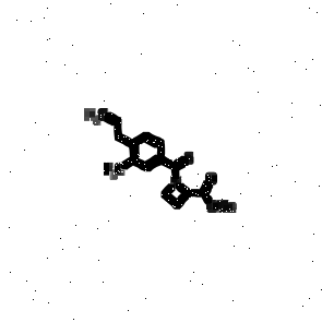 C=CCc1ccc(C(=S)N2CCC2C(=O)OC)cc1C(F)(F)F